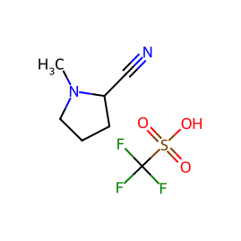 CN1CCCC1C#N.O=S(=O)(O)C(F)(F)F